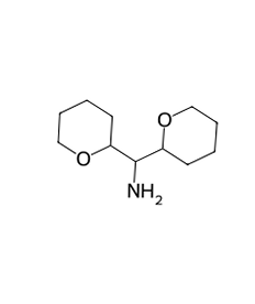 NC(C1CCCCO1)C1CCCCO1